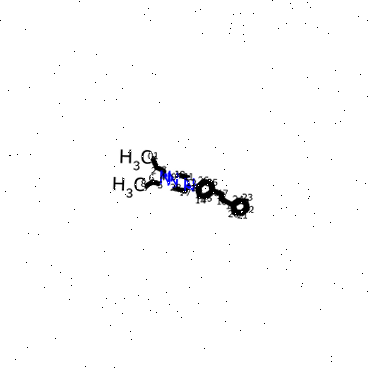 CCCCN(CCCC)N1CCN(c2ccc(C=Cc3ccccc3)cc2)CC1